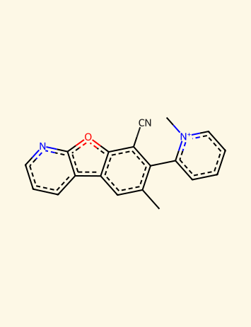 Cc1cc2c(oc3ncccc32)c(C#N)c1-c1cccc[n+]1C